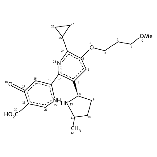 COCCCOc1cc([C@H]2CCC(C)N2)c(-c2cc(=O)c(C(=O)O)c[nH]2)nc1C1CC1